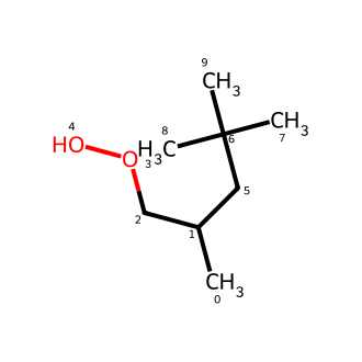 CC(COO)CC(C)(C)C